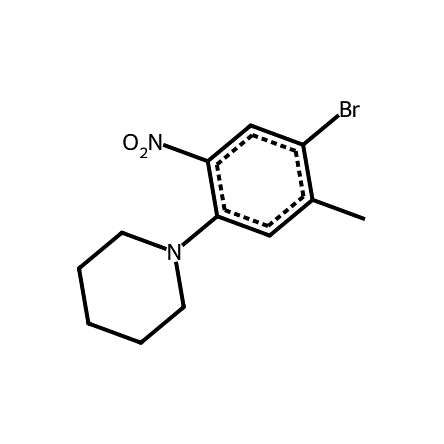 Cc1cc(N2CCCCC2)c([N+](=O)[O-])cc1Br